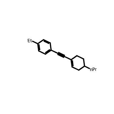 CCCC1CC=C(C#Cc2ccc(CC)cc2)CC1